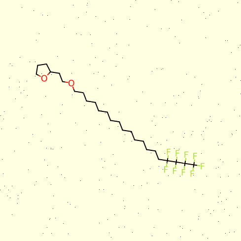 FC(F)(F)C(F)(F)C(F)(F)C(F)(F)CCCCCCCCCCCCCCCOCCC1CCCO1